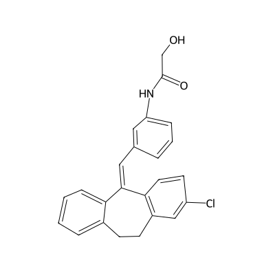 O=C(CO)Nc1cccc(C=C2c3ccccc3CCc3cc(Cl)ccc32)c1